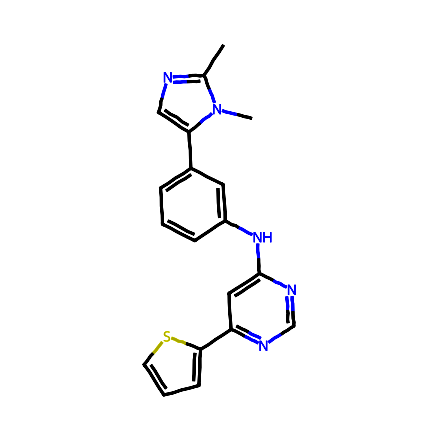 Cc1ncc(-c2cccc(Nc3cc(-c4cccs4)ncn3)c2)n1C